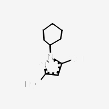 Cc1cc(O)n(C2CCCCC2)n1